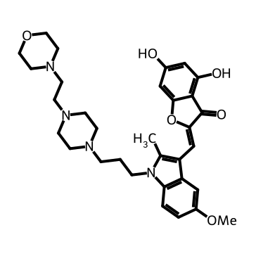 COc1ccc2c(c1)c(/C=C1\Oc3cc(O)cc(O)c3C1=O)c(C)n2CCCN1CCN(CCN2CCOCC2)CC1